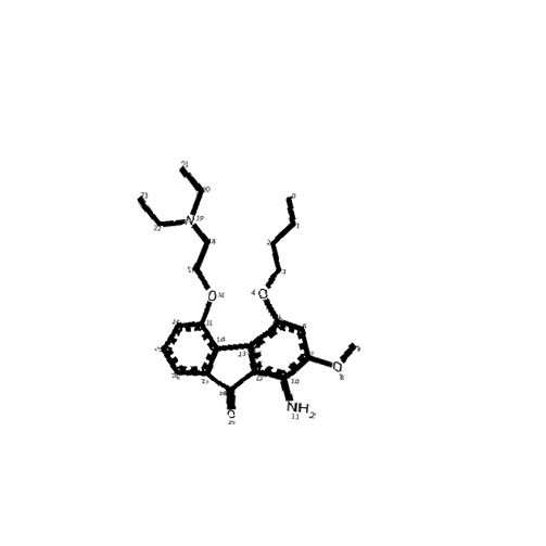 CCCCOc1cc(OC)c(N)c2c1-c1c(OCCN(CC)CC)cccc1C2=O